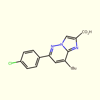 CC(C)(C)c1cc(-c2ccc(Cl)cc2)nn2cc(C(=O)O)nc12